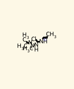 C/C=C/NC(Cl)NN(C)N=C(C)C